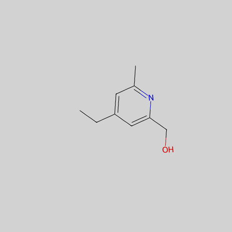 CCc1cc(C)nc(CO)c1